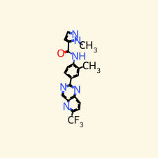 Cc1cc(-c2ncc3nc(C(F)(F)F)ccc3n2)ccc1NC(=O)c1ccnn1C